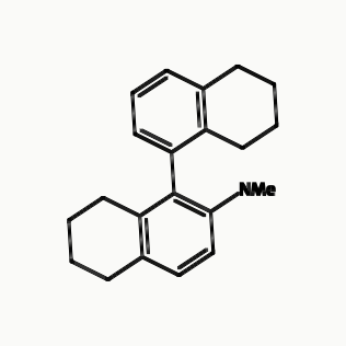 CNc1ccc2c(c1-c1cccc3c1CCCC3)CCCC2